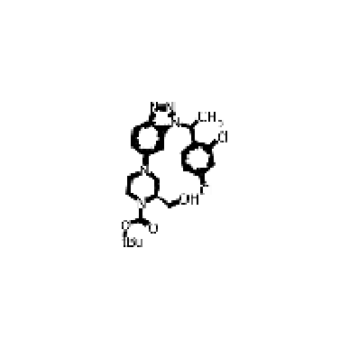 CC(c1ccc(Cl)cc1Cl)n1nnc2ccc(N3CCN(C(=O)OC(C)(C)C)[C@H](CO)C3)cc21